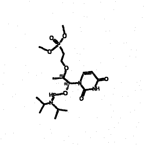 COP(=O)(CCO[C@H](C)[C@@H](OPN(C(C)C)C(C)C)n1ccc(=O)[nH]c1=O)OC